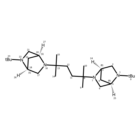 CC(C)(C)N1C[C@H]2C[C@@H]1CN2C(C)(C)CCC(C)(C)N1C[C@@H]2C[C@H]1CN2C(C)(C)C